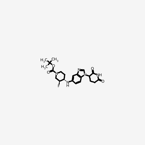 CC(C)(C)OC(=O)N1CC[C@H](Nc2ccc3c(c2)ncn3C2CCC(=O)NC2=O)[C@@H](F)C1